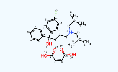 CC(C)CN(CCCC(O)(c1ccccc1)c1ccc(F)cc1)CC(C)C.O=C(O)/C=C\C(=O)O